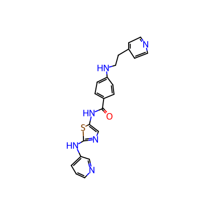 O=C(Nc1cnc(Nc2cccnc2)s1)c1ccc(NCCc2ccncc2)cc1